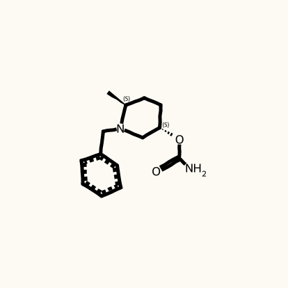 C[C@H]1CC[C@H](OC(N)=O)CN1Cc1ccccc1